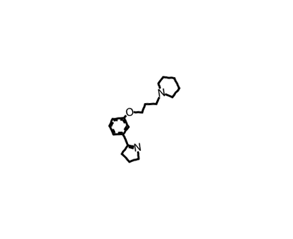 c1cc(OCCCN2CCCCC2)cc(C2=NCCC2)c1